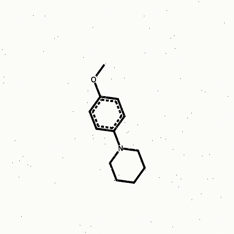 COc1ccc(N2C[CH]CCC2)cc1